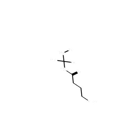 CCCCCCCCCCCC(=O)NC(C)(CC)NCC